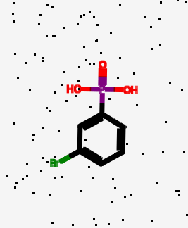 O=P(O)(O)c1[c]ccc(Br)c1